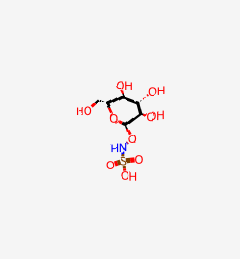 O=S(=O)(O)NO[C@H]1O[C@H](CO)[C@@H](O)[C@H](O)[C@H]1O